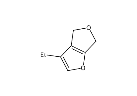 CCc1coc2c1COC2